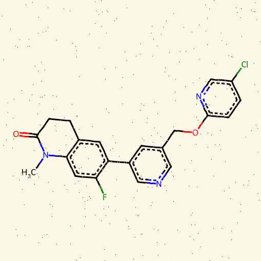 CN1C(=O)CCc2cc(-c3cncc(COc4ccc(Cl)cn4)c3)c(F)cc21